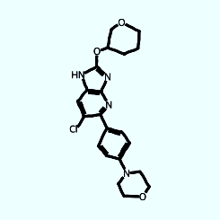 Clc1cc2[nH]c(OC3CCCOC3)nc2nc1-c1ccc(N2CCOCC2)cc1